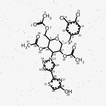 CC(=O)OCC1O[C@H](Sc2ccc(Cl)c(Cl)c2)C(OC(C)=O)C(n2cc(-c3nc(O)cs3)nn2)[C@H]1OC(C)=O